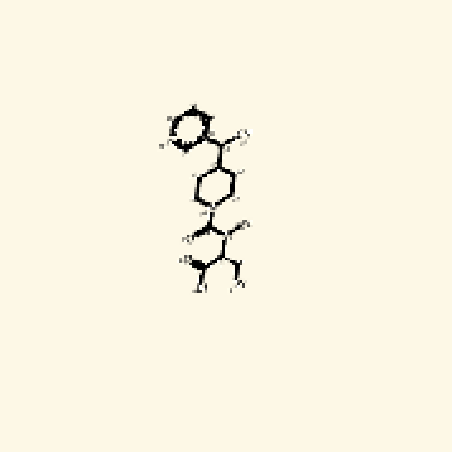 [CH2]CC(=O)[C@H](CC(C)C)N(CC)C(=O)N1CCC(C(C#N)c2cccnc2)CC1